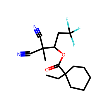 CCC1(C(=O)OC(CC(F)(F)F)C(C)(C#N)C#N)CCCCC1